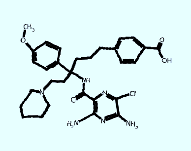 COc1ccc(C(CCCc2ccc(C(=O)O)cc2)(CCN2CCCCC2)NC(=O)c2nc(Cl)c(N)nc2N)cc1